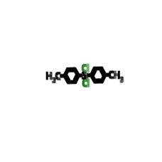 Cc1ccc([Si](Cl)(Cl)c2ccc(C)cc2)cc1